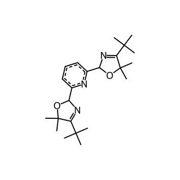 CC(C)(C)C1=NC(c2cccc(C3N=C(C(C)(C)C)C(C)(C)O3)n2)OC1(C)C